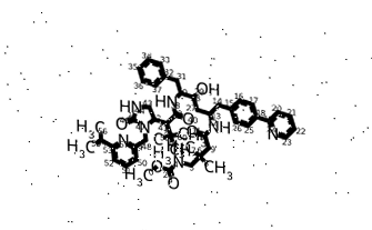 COC(=O)NCC(C)(C)CC(=O)NC(Cc1ccc(-c2ccccn2)cc1)CC(O)C(Cc1ccccc1)NC(=O)C(C1CNC(=O)N1Cc1cccc(C(C)C)n1)C(C)(C)C